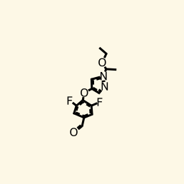 CCOC(C)n1cc(Oc2c(F)cc(C=O)cc2F)cn1